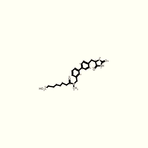 CN(Cc1cccc(-c2ccc(CC3SC(=O)NC3=O)cc2)c1)C(=O)CCCCCCC(=O)O